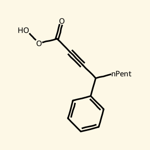 CCCCCC(C#CC(=O)OO)c1ccccc1